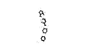 N#Cc1ccc(O[C@H]2CC[C@H](NC(=O)c3ccc(N4CC5CC(=O)C[C@H]5C4)nn3)CC2)cc1Cl